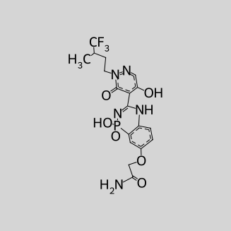 CC(CCn1ncc(O)c(C2=NP(=O)(O)c3cc(OCC(N)=O)ccc3N2)c1=O)C(F)(F)F